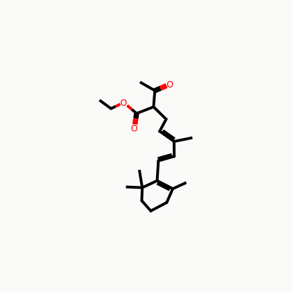 CCOC(=O)C(CC=C(C)C=CC1=C(C)CCCC1(C)C)C(C)=O